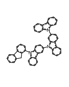 c1ccc2c(c1)Cc1c-2cccc1-n1c2ccccc2c2cc(-n3c4ccccc4c4ccc(-n5c6ccccc6c6ccccc65)cc43)ccc21